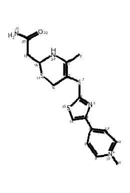 CC1=C(Sc2nc(-c3cc[n+](C)cc3)cs2)CSC(CC(N)=O)N1